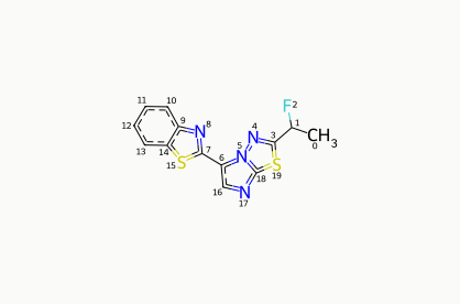 CC(F)c1nn2c(-c3nc4ccccc4s3)cnc2s1